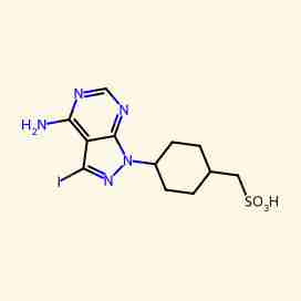 Nc1ncnc2c1c(I)nn2C1CCC(CS(=O)(=O)O)CC1